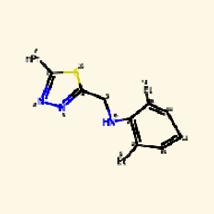 CCCc1nnc(CNc2c(CC)cccc2CC)s1